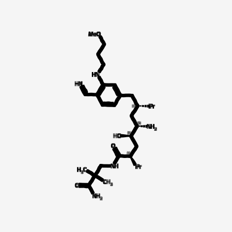 COCCCNc1cc(C[C@@H](C[C@H](N)[C@H](O)C[C@H](C(=O)NCC(C)(C)C(N)=O)C(C)C)C(C)C)ccc1C=N